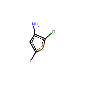 Nc1cc(I)sc1Cl